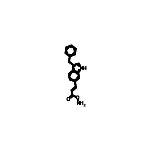 NOC(=O)/C=C/c1ccc2c(Cc3ccccc3)c[nH]c2c1